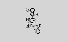 COc1cccc2[nH]c(C(=O)N[C@@H](CC3CC3)C(=O)N[C@H](CN=O)Cc3ccccn3)cc12